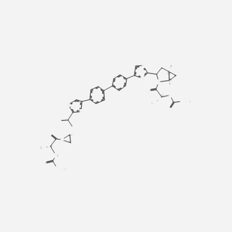 CCC(C[C@@H]1CN1C(=O)[C@@H](NC(=O)OC)C(C)C)c1ncc(-c2ccc(-c3ccc(-c4cnc(C5C[C@@H]6C[C@@H]6N5C(=O)[C@@H](NC(=O)OC)C(C)C)[nH]4)cc3)cc2)[nH]1